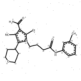 CCc1c(C(N)=O)c(C#N)c(C2CCOCC2)n1CCCC(=O)Nc1cccc(C)c1